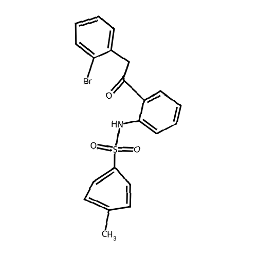 Cc1ccc(S(=O)(=O)Nc2ccccc2C(=O)Cc2ccccc2Br)cc1